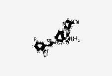 N#Cc1cnn(-c2ccc(NC(=O)Cc3cc(F)ccc3Cl)cc2S(N)(=O)=O)c1